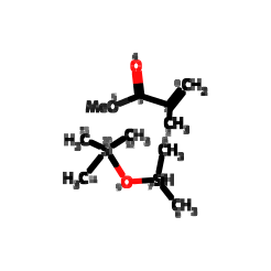 C=C(C)C(=O)OC.C[SiH](C)O[Si](C)(C)C